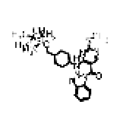 CSc1ncc(C(=O)n2nnc3ccccc32)c(NC2CCC(CO[Si](C)(C)C(C)(C)C)CC2)n1